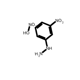 NNc1cccc([N+](=O)[O-])c1.O=[N+]([O-])O